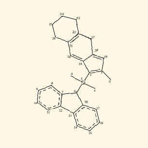 CC1=C([Si](C)(C)C2c3ccccc3-c3ccccc32)C2=CC3=C(CCCC3)CC2=C1